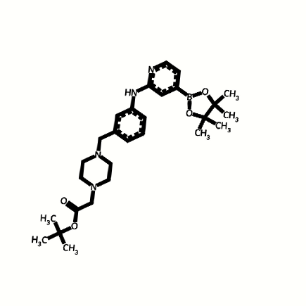 CC(C)(C)OC(=O)CN1CCN(Cc2cccc(Nc3cc(B4OC(C)(C)C(C)(C)O4)ccn3)c2)CC1